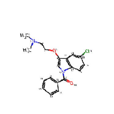 CN(C)CCOc1cn(C(=O)c2ccccc2)c2ccc(Cl)cc12